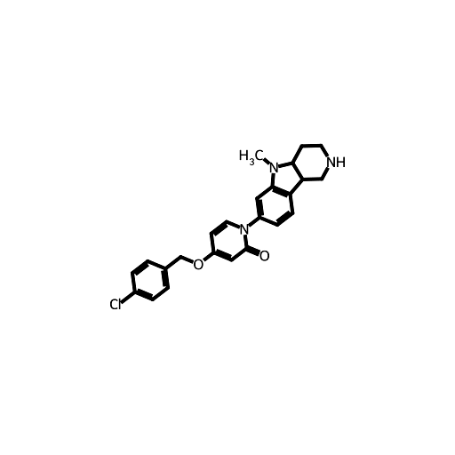 CN1c2cc(-n3ccc(OCc4ccc(Cl)cc4)cc3=O)ccc2C2CNCCC21